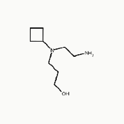 NCCN(CCCO)C1CCC1